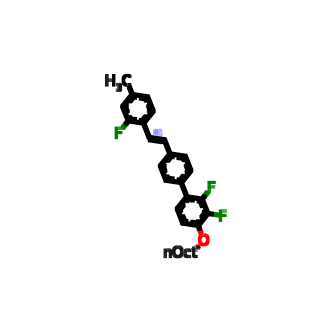 CCCCCCCCOc1ccc(-c2ccc(/C=C/c3ccc(C)cc3F)cc2)c(F)c1F